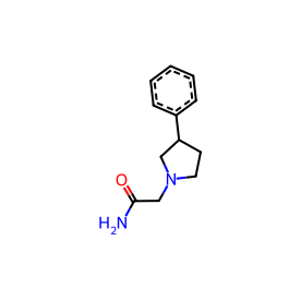 NC(=O)CN1CCC(c2ccccc2)C1